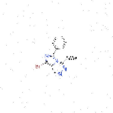 CSc1nncc2c(Br)nc(-c3ccccc3)n12